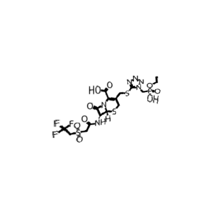 CCOP(=O)(O)Cn1nnnc1SCC1=C(C(=O)O)N2C(=O)[C@@H](NC(=O)CS(=O)(=O)CC(F)(F)F)[C@H]2SC1